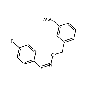 COc1cccc(CO/N=[C]\c2ccc(F)cc2)c1